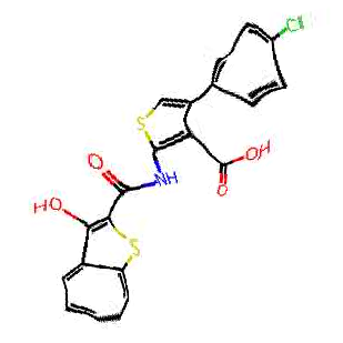 O=C(Nc1scc(-c2ccc(Cl)cc2)c1C(=O)O)c1sc2ccccc2c1O